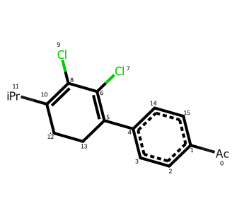 CC(=O)c1ccc(C2=C(Cl)C(Cl)=C(C(C)C)[CH]C2)cc1